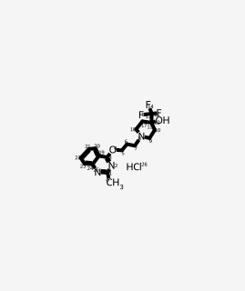 Cc1nc(OCCCN2CCC(O)(C(F)(F)F)CC2)c2ccccc2n1.Cl